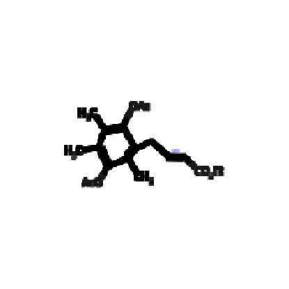 CCOC(=O)/C=C/Cc1c(C)c(OC(C)=O)c(C)c(C)c1OC(C)=O